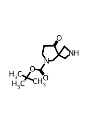 CC(C)(C)OC(=O)N1CCC(=O)C2(CNC2)C1